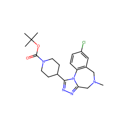 CN1Cc2cc(Cl)ccc2-n2c(nnc2C2CCN(C(=O)OC(C)(C)C)CC2)C1